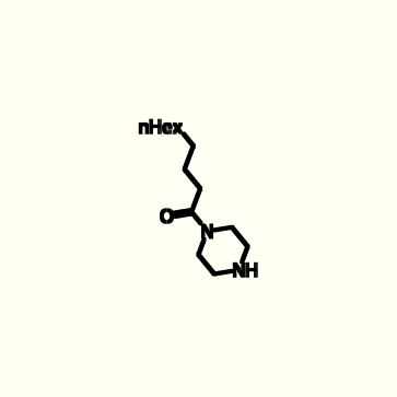 CCCCCCCCCC(=O)N1CCNCC1